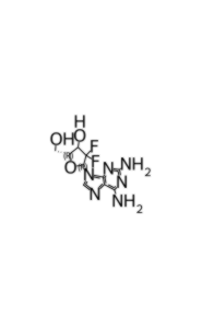 Nc1nc(N)c2ncn([C@@H]3O[C@H](CO)C(O)C3(F)F)c2n1